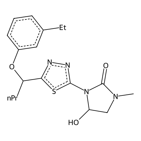 CCCC(Oc1cccc(CC)c1)c1nnc(N2C(=O)N(C)CC2O)s1